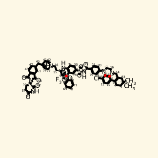 CC1(C)CCC(c2ccc(Cl)cc2)=C(CN2CCN(c3ccc(C(=O)NS(=O)(=O)c4ccc(N[C@H](CCN5CC6CCC5CN6Cc5ccc6c(c5)C(=O)N(N5CCC(=O)NC5=O)C6=O)CSc5ccccc5)c(S(=O)(=O)C(F)(F)F)c4)cc3)CC2)C1